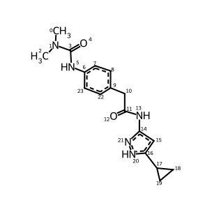 CN(C)C(=O)Nc1ccc(CC(=O)Nc2cc(C3CC3)[nH]n2)cc1